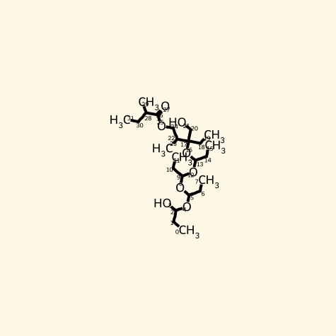 CCC(O)OC(CC)OC(CC)OC(CC)OC(CC)(CO)C(C)COC(=O)C(C)CC